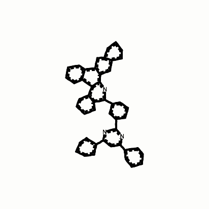 c1ccc(-c2cc(-c3ccccc3)nc(-c3cccc(-c4nc5c6cc7ccccc7cc6c6ccccc6c5c5ccccc45)c3)n2)cc1